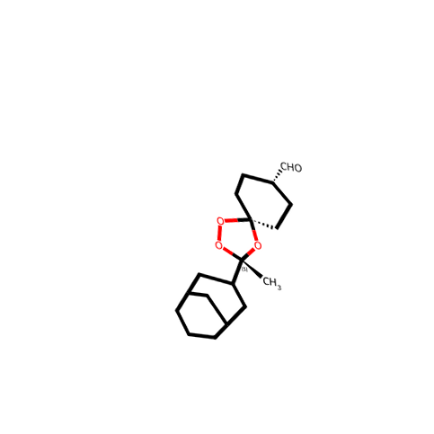 C[C@@]1(C2CC3CCCC(C3)C2)OO[C@]2(CC[C@@H](C=O)CC2)O1